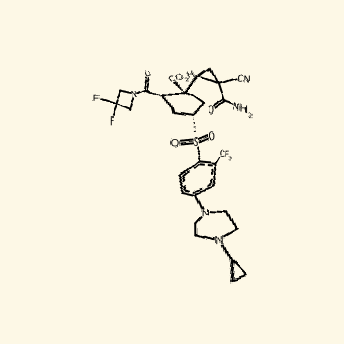 N#CC1(C(N)=O)CC1[C@]1(C(=O)O)C[C@H](S(=O)(=O)c2ccc(N3CCN(C4CC4)CC3)cc2C(F)(F)F)C[C@H]1C(=O)N1CC(F)(F)C1